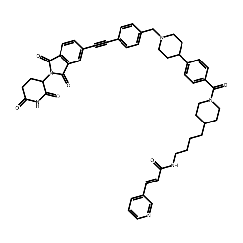 O=C(/C=C/c1cccnc1)NCCCCC1CCN(C(=O)c2ccc(C3CCN(Cc4ccc(C#Cc5ccc6c(c5)C(=O)N(C5CCC(=O)NC5=O)C6=O)cc4)CC3)cc2)CC1